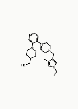 CCn1cc(CN2CCN(c3cccnc3N3CCC(CO)CC3)CC2)c(C)n1